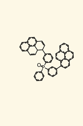 O=P(c1ccccc1)(c1cccc(-c2ccc3ccc4cccc5ccc2c3c45)c1)c1cccc(C2C=Cc3ccc4cccc5c4c3C2C=C5)c1